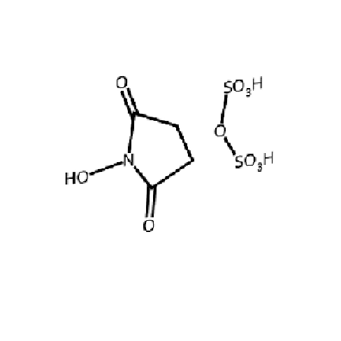 O=C1CCC(=O)N1O.O=S(=O)(O)OS(=O)(=O)O